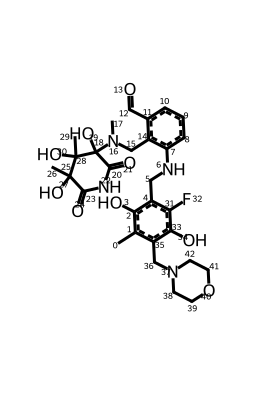 Cc1c(O)c(CNc2cccc(C=O)c2CN(C)C2(O)C(=O)NC(=O)C(C)(O)C2(C)O)c(F)c(O)c1CN1CCOCC1